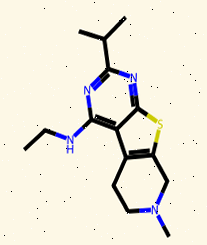 CCNc1nc(C(C)C)nc2sc3c(c12)CCN(C)C3